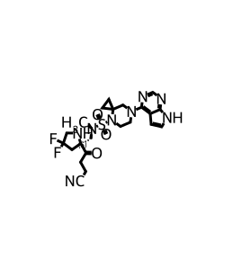 CN(C[C@]1(C(=O)CCC#N)CC(F)(F)CN1)S(=O)(=O)N1CCN(c2ncnc3[nH]ccc23)CC12CC2